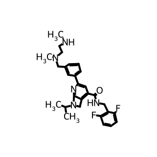 CNCCN(C)Cc1cccc(-c2cc(C(=O)NCc3c(F)cccc3F)c3c(n2)N(C(C)C)C3)c1